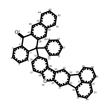 O=C1c2ccccc2C(c2ccccc2)(c2ccc3oc4cc5c(cc4c3c2)-c2cccc3cccc-5c23)c2cc3ccccc3cc21